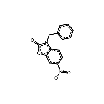 O=c1oc2cc([N+](=O)[O-])ccc2n1Cc1ccccc1